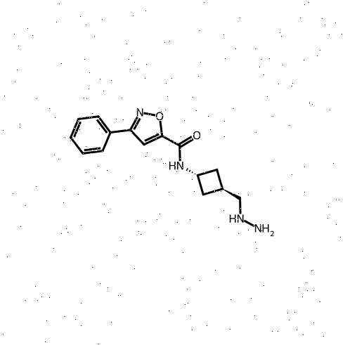 NNC[C@H]1C[C@H](NC(=O)c2cc(-c3ccccc3)no2)C1